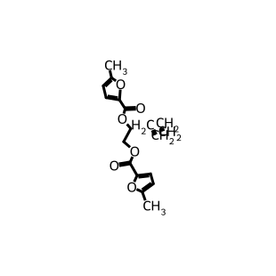 C=C.C=C.Cc1ccc(C(=O)OCCOC(=O)c2ccc(C)o2)o1